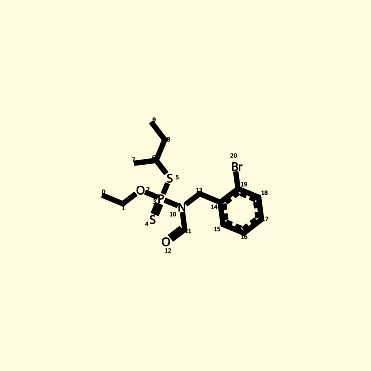 CCOP(=S)(SC(C)CC)N(C=O)Cc1ccccc1Br